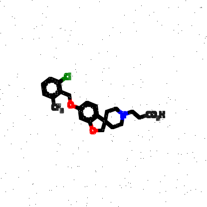 O=C(O)CCN1CCC2(CC1)COc1cc(OCc3c(Cl)cccc3C(F)(F)F)ccc12